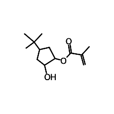 C=C(C)C(=O)OC1CC(C(C)(C)C)CC1O